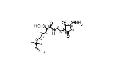 CC(C)(CN)SSCCC(C(=O)NCCN1C(=O)CC(SN)C1=O)S(=O)(=O)O